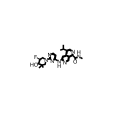 CNC(=O)c1ncc(C(C)C)c2cc(Nc3ccnc(N4C[C@H](F)[C@H](O)C(C)(C)C4)n3)ncc12